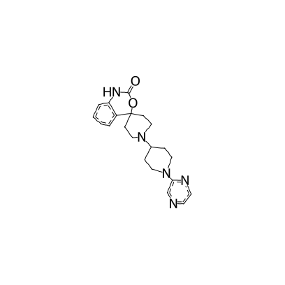 O=C1Nc2ccccc2C2(CCN(C3CCN(c4cnccn4)CC3)CC2)O1